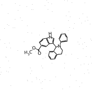 COC(=O)c1ccc2[nH]cc(C3c4ccccc4CCN3c3ccccc3)c2c1